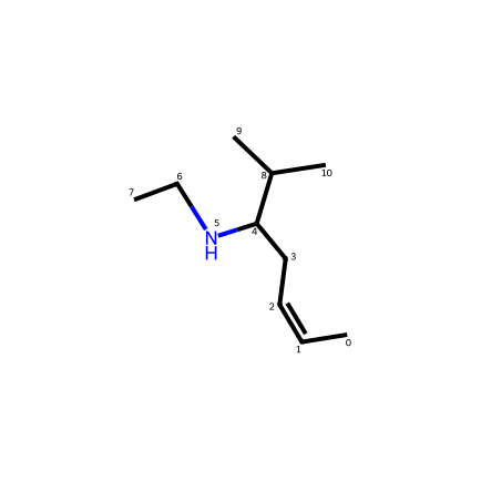 C/C=C\CC(NCC)C(C)C